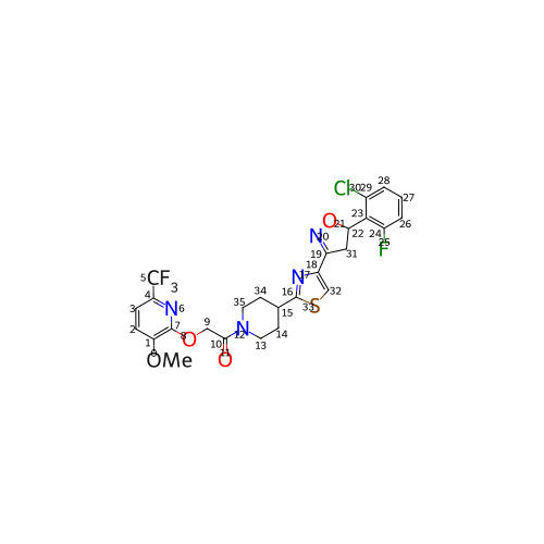 COc1ccc(C(F)(F)F)nc1OCC(=O)N1CCC(c2nc(C3=NOC(c4c(F)cccc4Cl)C3)cs2)CC1